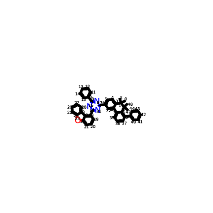 CC1(C)c2ccc(-c3nc(-c4ccccc4)nc(-c4cccc5oc6ccccc6c45)n3)cc2-c2cccc(-c3ccccc3)c2C1(C)C